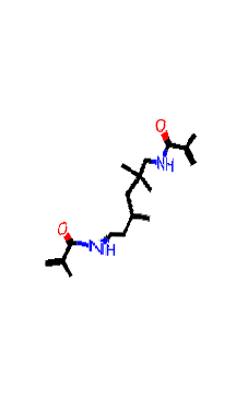 C=C(C)C(=O)NCCC(C)CC(C)(C)CNC(=O)C(=C)C